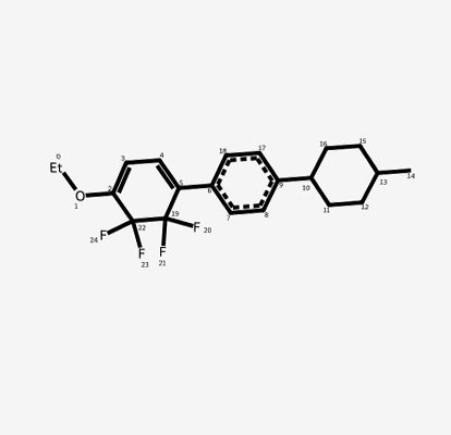 CCOC1=CC=C(c2ccc(C3CCC(C)CC3)cc2)C(F)(F)C1(F)F